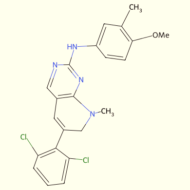 COc1ccc(Nc2ncc3c(n2)N(C)CC(c2c(Cl)cccc2Cl)=C3)cc1C